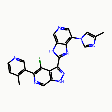 Cc1cn(-c2cncc3[nH]c(-c4n[nH]c5cnc(-c6cnccc6C)c(F)c45)nc23)cn1